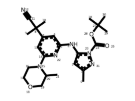 Cc1cc(Nc2cc(C(C)(C)C#N)cc(N3CCOCC3C)n2)n(C(=O)OC(C)(C)C)n1